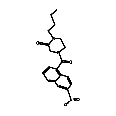 CCCCN1CCN(C(=O)c2cccc3cc([N+](=O)[O-])ccc23)CC1=O